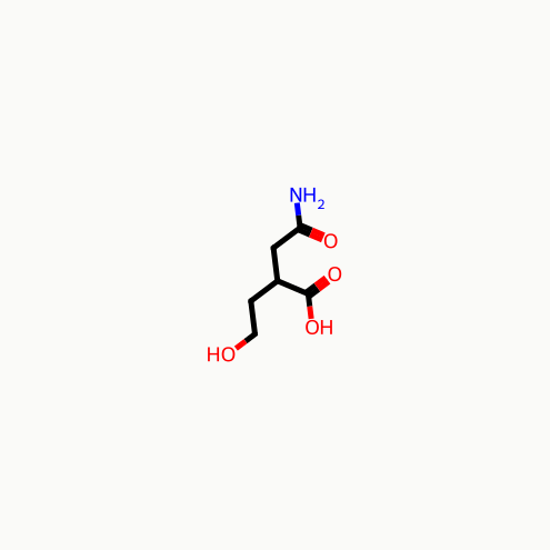 NC(=O)CC(CCO)C(=O)O